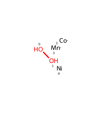 OO.[Co].[Mn].[Ni]